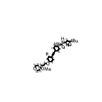 CO[N+]1(CCCOc2ccc(C#Cc3ccc(NC(=O)Nc4cc(C(C)(C)C)on4)cc3)c(F)c2)CCOCC1